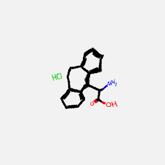 Cl.NC(C(=O)O)C1c2ccccc2CCc2ccccc21